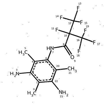 Cc1c(N)c(C)c(NC(=O)C(F)(C(F)(F)F)C(F)(F)F)c(C)c1N